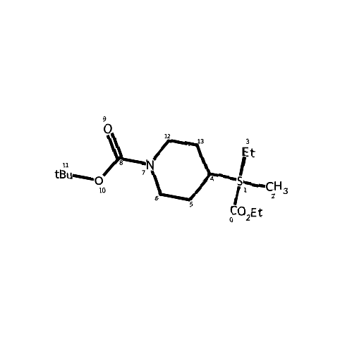 CCOC(=O)S(C)(CC)C1CCN(C(=O)OC(C)(C)C)CC1